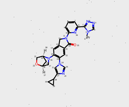 CC(C)n1cnnc1-c1cccc(N2Cc3cc(N4C[C@@H]5C[C@H]4CO5)c(-n4cnc(C5CC5)c4)cc3C2=O)n1